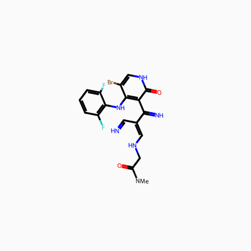 CNC(=O)CN/C=C(\C=N)C(=N)c1c(Nc2c(F)cccc2F)c(Br)c[nH]c1=O